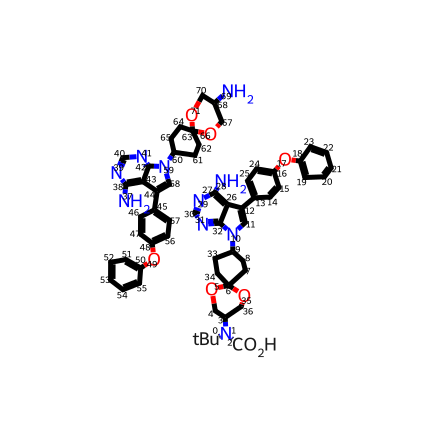 CC(C)(C)N(C(=O)O)C1COC2(CCC(n3cc(-c4ccc(Oc5ccccc5)cc4)c4c(N)ncnc43)CC2)OC1.Nc1ncnc2c1c(-c1ccc(Oc3ccccc3)cc1)cn2C1CCC2(CC1)OCC(N)CO2